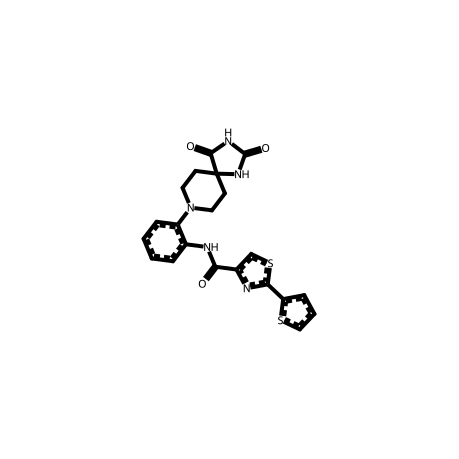 O=C1NC(=O)C2(CCN(c3ccccc3NC(=O)c3csc(-c4cccs4)n3)CC2)N1